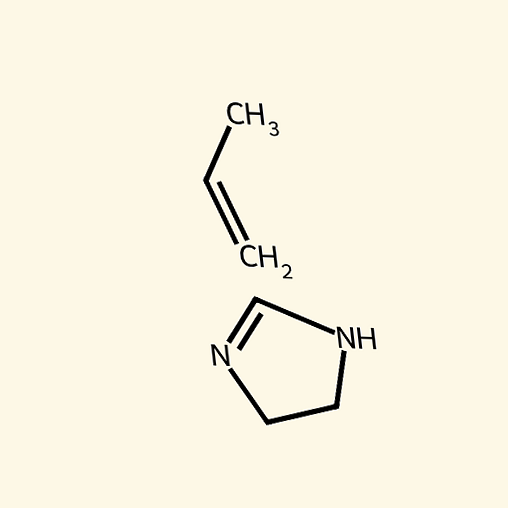 C1=NCCN1.C=CC